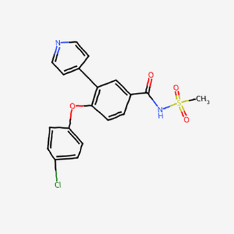 CS(=O)(=O)NC(=O)c1ccc(Oc2ccc(Cl)cc2)c(-c2ccncc2)c1